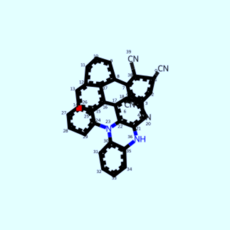 N#Cc1cc(C#N)c(C#N)c(-c2cccc3cccc(-c4cccc5c4N(c4ccccc4)c4ccccc4N5)c23)c1C#N